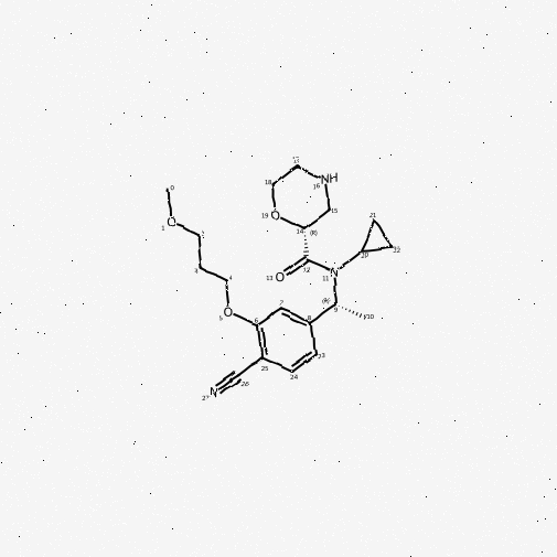 COCCCOc1cc([C@@H](C)N(C(=O)[C@H]2CNCCO2)C2CC2)ccc1C#N